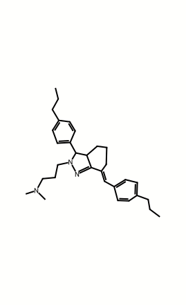 CCCc1ccc(/C=C2\CCCC3C2=NN(CCCN(C)C)C3c2ccc(CCC)cc2)cc1